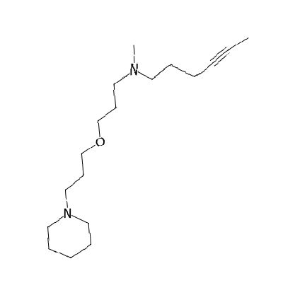 CC#CCCCN(C)CCCOCCCN1CCCCC1